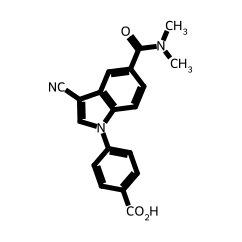 CN(C)C(=O)c1ccc2c(c1)c(C#N)cn2-c1ccc(C(=O)O)cc1